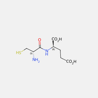 N[C@H](CS)C(=O)N[C@H](CCC(=O)O)C(=O)O